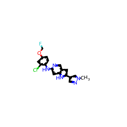 Cn1cc(-c2cc3cnc(Nc4ccc(OCF)cc4Cl)cc3[nH]2)cn1